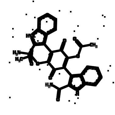 CC(=O)OC1=C(c2c(C(N)=O)[nH]c3ccccc23)C(=O)C(OC(C)=O)=C(c2c(C(N)=O)[nH]c3ccccc23)C1=O